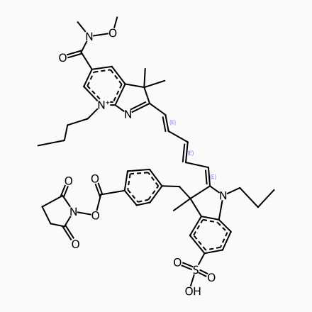 CCCC[n+]1cc(C(=O)N(C)OC)cc2c1N=C(/C=C/C=C/C=C1/N(CCC)c3ccc(S(=O)(=O)O)cc3C1(C)Cc1ccc(C(=O)ON3C(=O)CCC3=O)cc1)C2(C)C